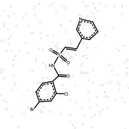 O=C(NS(=O)(=O)/C=C/c1cccnc1)c1ccc(Br)cc1Cl